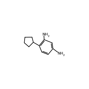 Nc1ccc(C2CCCC2)c(N)c1